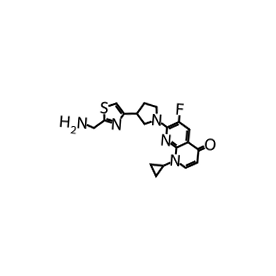 NCc1nc(C2CCN(c3nc4c(cc3F)c(=O)ccn4C3CC3)C2)cs1